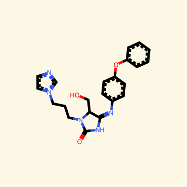 O=C1NC(=Nc2ccc(Oc3ccccc3)cc2)C(CO)N1CCCn1ccnc1